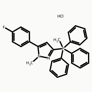 Cl.Cn1nc(P(C)(c2ccccc2)(c2ccccc2)c2ccccc2)cc1-c1ccc(F)cc1